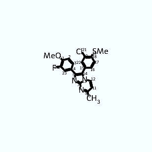 COc1ccc(-c2nc3nc(C)ccn3c2-c2ccc(SC)c(Cl)c2)cc1F